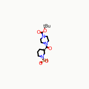 CC(C)(C)OC(=O)N1CCN(C(=O)[C@@H]2CCCN([SH](=O)=O)C2)CC1